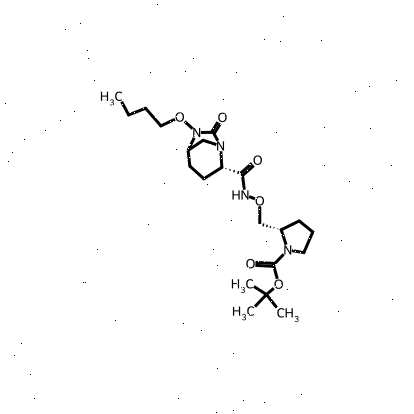 CCCCON1C(=O)N2CC1CC[C@H]2C(=O)NOC[C@@H]1CCCN1C(=O)OC(C)(C)C